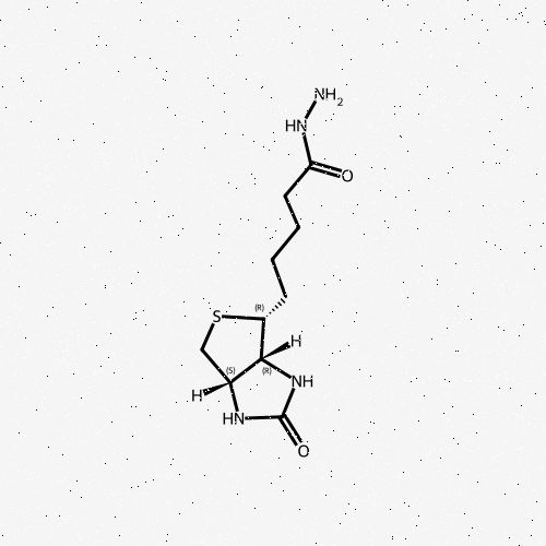 NNC(=O)CCCC[C@H]1SC[C@H]2NC(=O)N[C@H]21